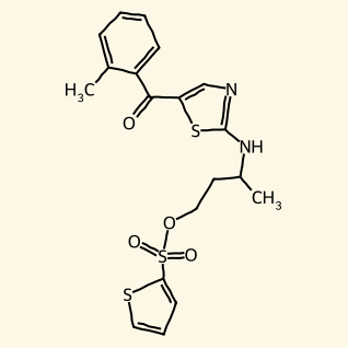 Cc1ccccc1C(=O)c1cnc(NC(C)CCOS(=O)(=O)c2cccs2)s1